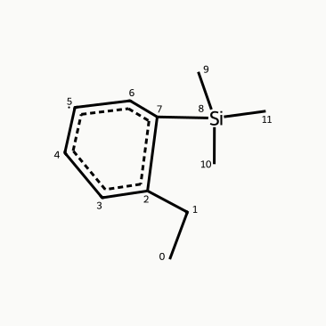 CCc1cc[c]cc1[Si](C)(C)C